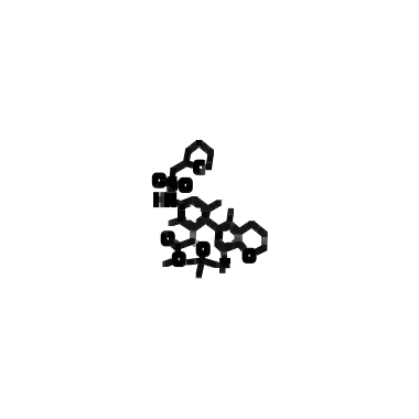 COC(=O)[C@@H](OC(C)(C)C)c1c(C)c(NS(=O)(=O)CC2CCCCC2)cc(C)c1-c1cc(F)c2c(c1C)CCCO2